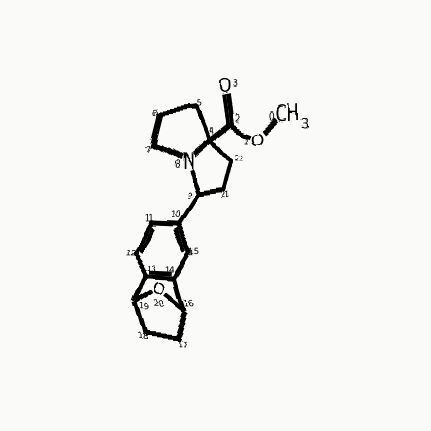 COC(=O)C12CCCN1C(c1ccc3c(c1)C1CCC3O1)CC2